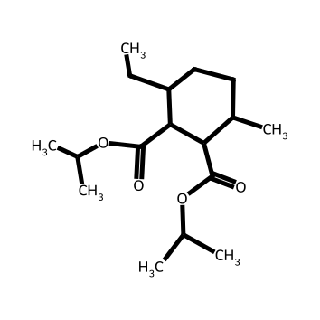 CCC1CCC(C)C(C(=O)OC(C)C)C1C(=O)OC(C)C